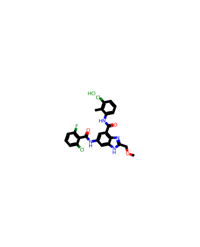 COCc1nc2c(C(=O)Nc3cccc(Cl)c3C)cc(NC(=O)c3c(F)cccc3Cl)cc2[nH]1.Cl